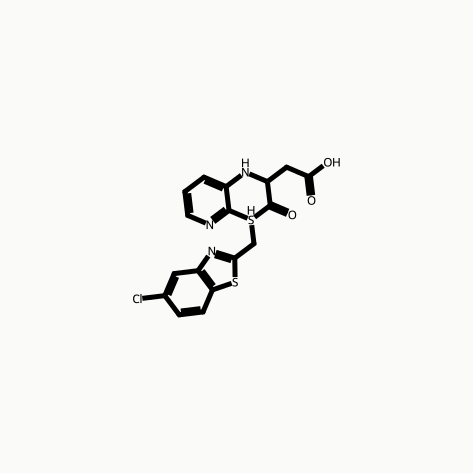 O=C(O)CC1Nc2cccnc2[SH](Cc2nc3cc(Cl)ccc3s2)C1=O